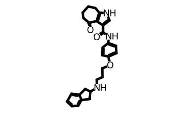 O=C(Nc1ccc(OCCCNC2Cc3ccccc3C2)cc1)c1c[nH]c2c1C(=O)CCCC2